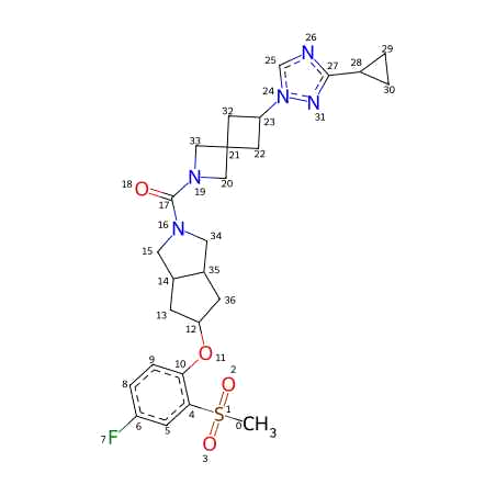 CS(=O)(=O)c1cc(F)ccc1OC1CC2CN(C(=O)N3CC4(CC(n5cnc(C6CC6)n5)C4)C3)CC2C1